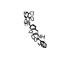 COC(=O)[C@H](Cc1ccc(NC(=O)c2c(Cl)cncc2Cl)cc1)NC(=O)C1NC2CCC1CC2